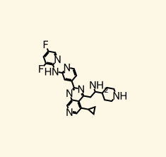 NC(Cc1nc(-c2ccnc(Nc3ncc(F)cc3F)c2)nc2cncc(C3CC3)c12)C1CCNCC1